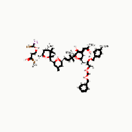 C=C1C[C@@H](CC2(C)O[C@H](C[C@H](CC(=O)SC(C)(C)C)OB(P)S)C[C@H](OC(C)=O)C2(C)C)O[C@@H](/C=C/C(C)(C)[C@]2(OC)O[C@H](C[C@@H](OCc3ccc(OC)cc3)[C@@H](C)OCOCc3ccccc3)C/C(=C\C(=O)OC)C2=O)C1